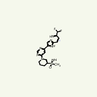 CS(=N)(=O)C1CCCN(c2cc(-c3cnc(/C=C\C(=N)C(F)F)[nH]3)ncn2)C1